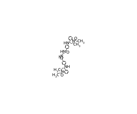 CCC(=O)N1c2ccccc2[C@H](Nc2ccc(C(=O)NCCn3cc(-c4ccc(N[C@@H]5C[C@H](C)N(C(=O)CC)c6ccccc65)cc4)cn3)cc2)C[C@@H]1C